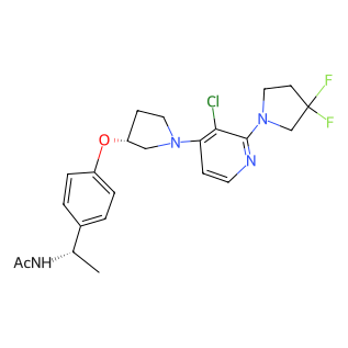 CC(=O)N[C@@H](C)c1ccc(O[C@@H]2CCN(c3ccnc(N4CCC(F)(F)C4)c3Cl)C2)cc1